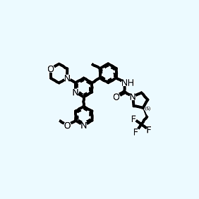 COc1cc(-c2cc(-c3cc(NC(=O)N4CC[C@@H](CC(F)(F)F)C4)ccc3C)cc(N3CCOCC3)n2)ccn1